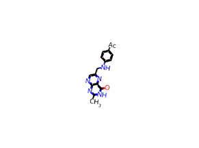 CC(=O)c1ccc(NCc2cnc3nc(C)[nH]c(=O)c3n2)cc1